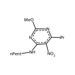 CCCCCNc1nc(OC)nc(C(C)C)c1[N+](=O)[O-]